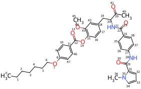 CCCCCCCOc1ccc(C(=O)Oc2ccc(CC(NC(=O)c3ccc(NC(=O)c4cccn4C)cc3)C(C)=O)cc2OC)cc1